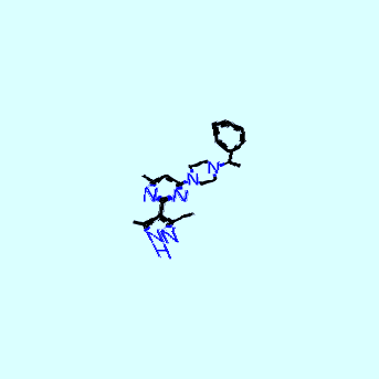 Cc1cc(N2CCN(C(C)c3ccccc3)CC2)nc(-c2c(C)n[nH]c2C)n1